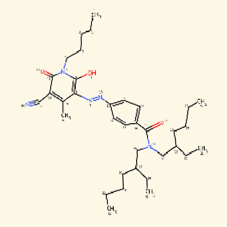 CCCCCn1c(O)c(/N=N/c2ccc(C(=O)N(CC(CC)CCCC)CC(CC)CCCC)cc2)c(C)c(C#N)c1=O